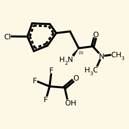 CN(C)C(=O)[C@@H](N)Cc1ccc(Cl)cc1.O=C(O)C(F)(F)F